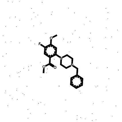 COC(=O)c1cc(F)c(OC)cc1N1CCN(Cc2ccccc2)CC1